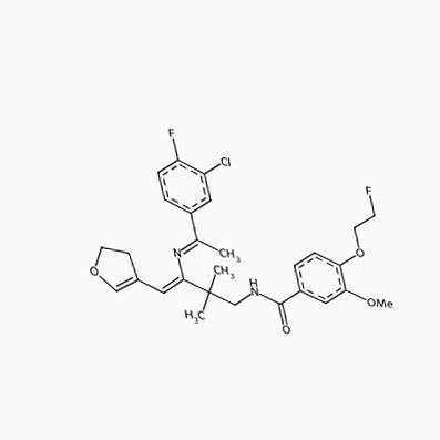 COc1cc(C(=O)NCC(C)(C)C(=C/C2=COCC2)/N=C(\C)c2ccc(F)c(Cl)c2)ccc1OCCF